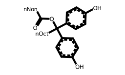 CCCCCCCCCC(=O)OC(CCCCCCCC)(c1ccc(O)cc1)c1ccc(O)cc1